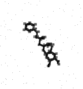 O=C(C[C@@H](O)Cc1cc(F)c(F)cc1F)OCc1ccccc1